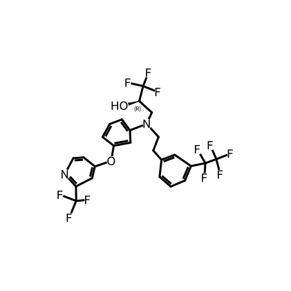 O[C@H](CN(CCc1cccc(C(F)(F)C(F)(F)F)c1)c1cccc(Oc2ccnc(C(F)(F)F)c2)c1)C(F)(F)F